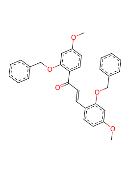 COc1ccc(C=CC(=O)c2ccc(OC)cc2OCc2ccccc2)c(OCc2ccccc2)c1